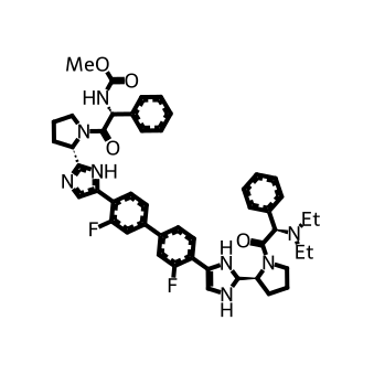 CCN(CC)[C@@H](C(=O)N1CCC[C@H]1C1NC=C(c2ccc(-c3ccc(-c4cnc([C@@H]5CCCN5C(=O)[C@H](NC(=O)OC)c5ccccc5)[nH]4)c(F)c3)cc2F)N1)c1ccccc1